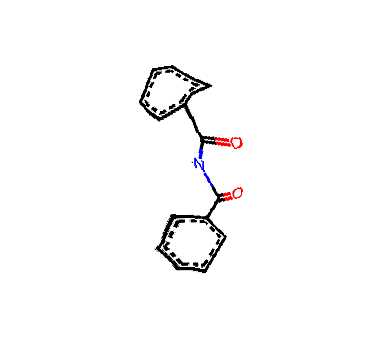 O=C([N]C(=O)c1ccccc1)c1ccccc1